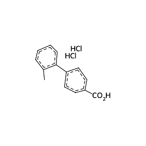 Cc1ccccc1-c1ccc(C(=O)O)cc1.Cl.Cl